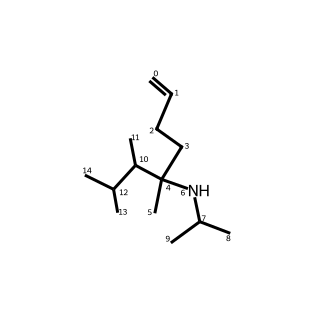 C=CCCC(C)(NC(C)C)C(C)C(C)C